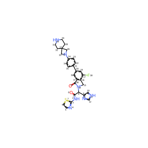 O=C(Nc1nccs1)C(c1c[nH]cn1)N1Cc2c(F)cc(-c3ccc(N4CC5(CCNCC5)C4)cc3)cc2C1=O